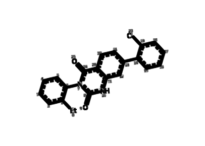 CCc1ccccc1-n1c(=O)[nH]c2cc(-c3ccccc3Cl)ccc2c1=O